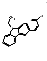 CCn1c2ccccc2c2cc(/C=C\C(=O)O)ccc21